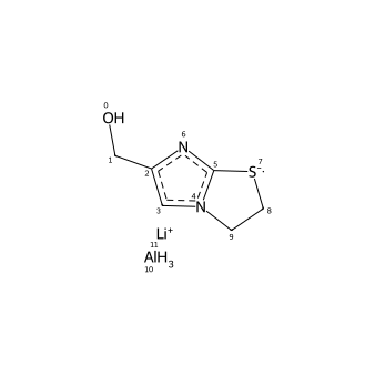 OCc1cn2c(n1)[S-]CC2.[AlH3].[Li+]